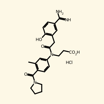 Cc1cc(N(CCC(=O)O)C(=O)Cc2cc(C(=N)N)ccc2O)ccc1C(=O)N1CCCC1.Cl